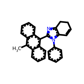 Cc1c2ccccc2c(-c2nc3c(n2-c2ccccc2)C=CCC3)c2ccccc12